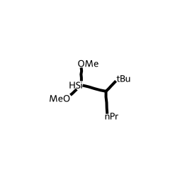 CCCC([SiH](OC)OC)C(C)(C)C